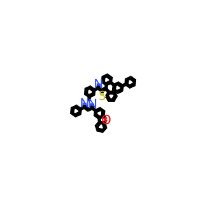 c1ccc(-c2cccc(-c3cccc4nc(-c5cccc(-c6nc(-c7ccccc7)cc(-c7ccc8oc9ccccc9c8c7)n6)c5)c5sc6ccccc6c5c34)c2)cc1